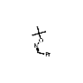 CC(C)/C=N\OC(C)(C)C